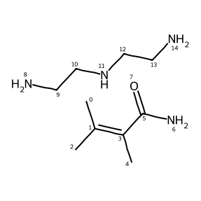 CC(C)=C(C)C(N)=O.NCCNCCN